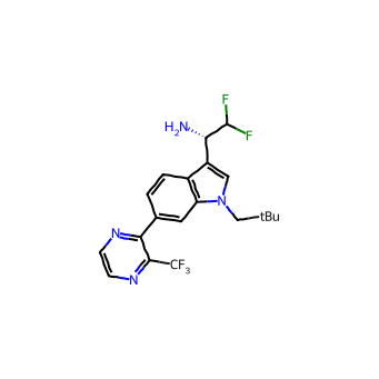 CC(C)(C)Cn1cc([C@H](N)C(F)F)c2ccc(-c3nccnc3C(F)(F)F)cc21